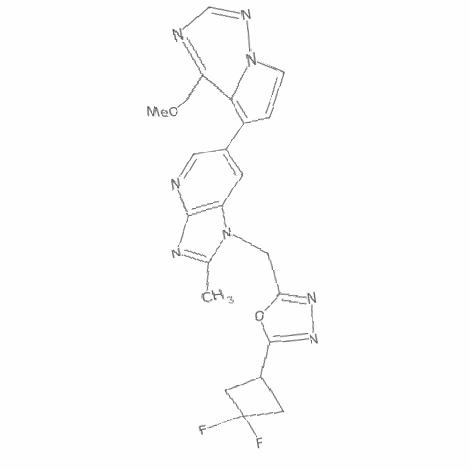 COc1ncnn2ccc(-c3cnc4nc(C)n(Cc5nnc(C6CC(F)(F)C6)o5)c4c3)c12